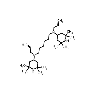 C=CCN(CCCCCCN(CC=C)C1CC(C)(C)NC(C)(C)C1)C1CC(C)(C)NC(C)(C)C1